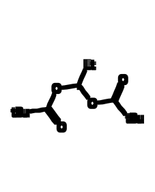 CC[C](OC(=O)C(C)(C)C)OC(=O)C(C)(C)C